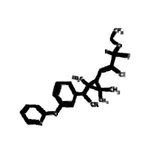 CC1(C)C(C=C(Cl)C(F)(F)OCC(F)(F)F)C1(C(=O)O)C(C#N)c1cccc(Oc2ccccn2)c1